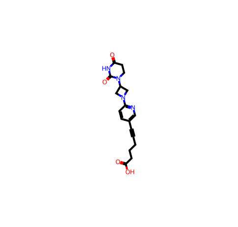 O=C(O)CCCC#Cc1ccc(N2CC(N3CCC(=O)NC3=O)C2)nc1